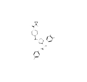 Cc1ccc(OC(=O)N(C)[C@H]2CN(C(=O)C3CCN(C(=O)C4(C)CC4)CC3)C[C@@H]2c2ccc(Cl)c(Cl)c2)cc1